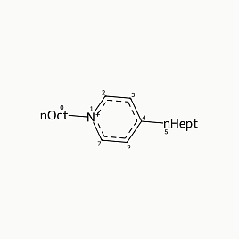 CCCCCCCC[n+]1ccc(CCCCCCC)cc1